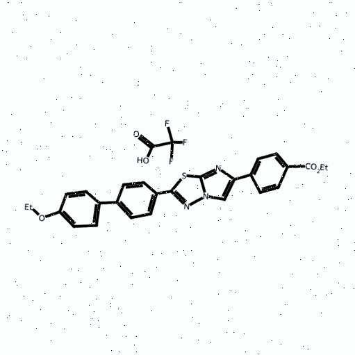 CCOC(=O)c1ccc(-c2cn3nc(-c4ccc(-c5ccc(OCC)cc5)cc4)sc3n2)cc1.O=C(O)C(F)(F)F